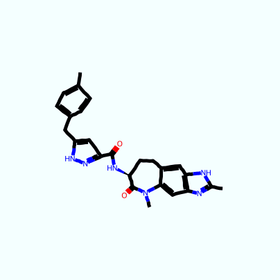 Cc1ccc(Cc2cc(C(=O)N[C@H]3CCc4cc5[nH]c(C)nc5cc4N(C)C3=O)n[nH]2)cc1